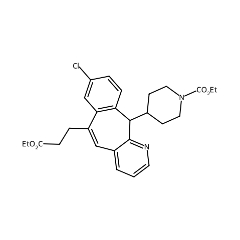 CCOC(=O)CCC1=Cc2cccnc2C(C2CCN(C(=O)OCC)CC2)c2ccc(Cl)cc21